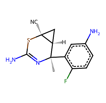 C[C@]1(c2cc(N)ccc2F)N=C(N)S[C@@]2(C#N)C[C@H]21